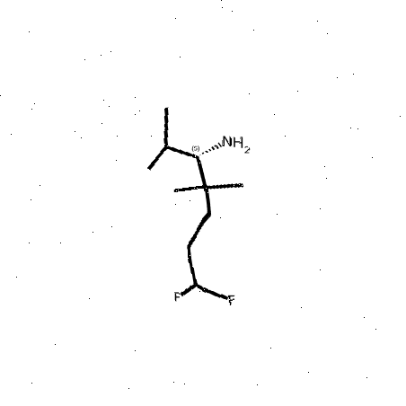 CC(C)[C@H](N)C(C)(C)CCC(F)F